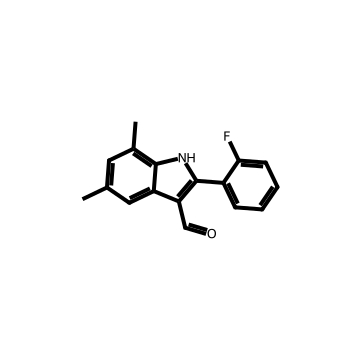 Cc1cc(C)c2[nH]c(-c3ccccc3F)c(C=O)c2c1